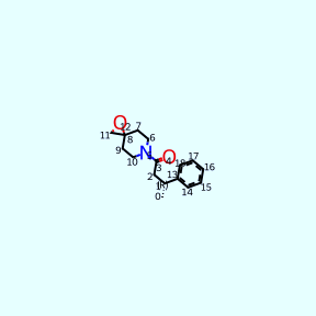 C[C@H](CC(=O)N1CCC2(CC1)CO2)c1ccccc1